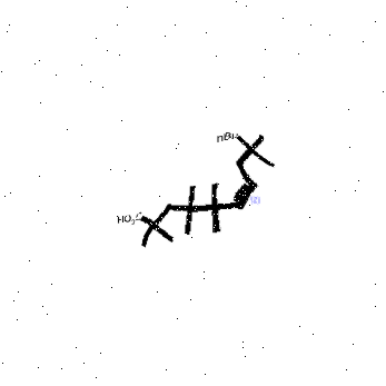 CCCCC(C)(C)C/C=C\C(C)(C)C(C)(C)CC(C)(C)C(=O)O